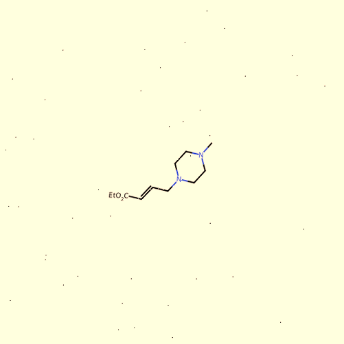 CCOC(=O)/C=C/CN1CCN(C)CC1